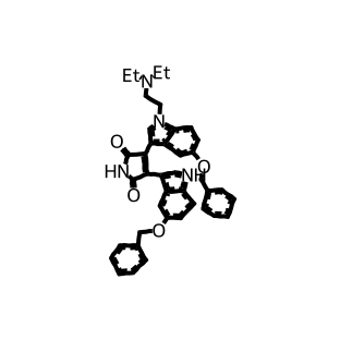 CCN(CC)CCn1cc(C2=C(c3c[nH]c4ccc(OCc5ccccc5)cc34)C(=O)NC2=O)c2cc(OCc3ccccc3)ccc21